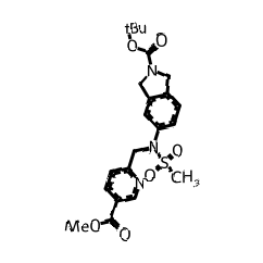 COC(=O)c1ccc(CN(c2ccc3c(c2)CN(C(=O)OC(C)(C)C)C3)S(C)(=O)=O)nc1